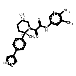 Cc1cc(NC(=O)C(=O)N2C[C@@H](C)CC[C@@]2(C)c2ccc(-c3cn[nH]c3)cc2)cnc1N